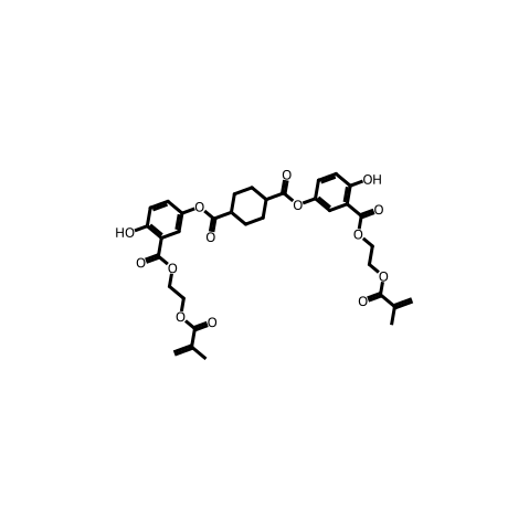 C=C(C)C(=O)OCCOC(=O)c1cc(OC(=O)C2CCC(C(=O)Oc3ccc(O)c(C(=O)OCCOC(=O)C(=C)C)c3)CC2)ccc1O